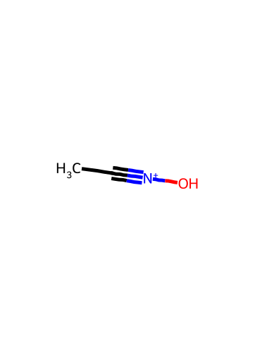 CC#[N+]O